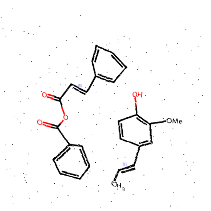 C/C=C/c1ccc(O)c(OC)c1.O=C(/C=C/c1ccccc1)OC(=O)c1ccccc1